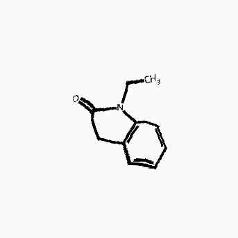 CCN1C(=O)Cc2ccc[c]c21